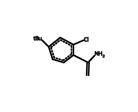 C=C(N)c1ccc(C(C)(C)C)cc1Cl